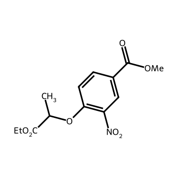 CCOC(=O)C(C)Oc1ccc(C(=O)OC)cc1[N+](=O)[O-]